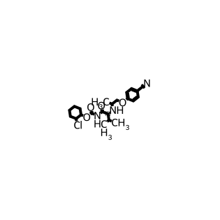 CC(COc1ccc(C#N)cc1)N[C@H](C(=O)NC(=O)OC1CCCCC1Cl)C(C)C